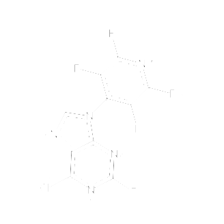 Fc1nc(Cl)c2ncn(-c3c(F)c(F)nc(F)c3F)c2n1